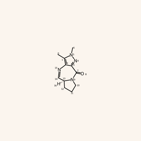 Cc1c2c(nn1C)C(=O)N1CCC[C@H]1C=N2